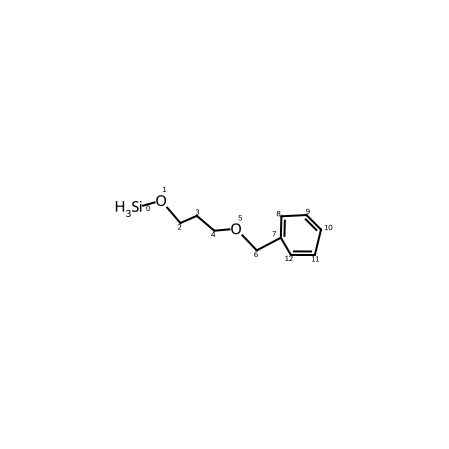 [SiH3]OCCCOCc1ccccc1